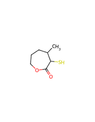 CC1CCCOC(=O)C1S